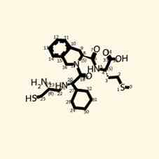 CSCC[C@H](NC(=O)[C@@H]1Cc2ccccc2CN1C(=O)[C@H](NC[C@@H](N)CS)C1CCCCC1)C(=O)O